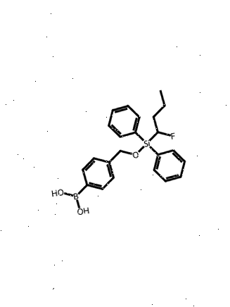 CCCC(F)[Si](OCc1ccc(B(O)O)cc1)(c1ccccc1)c1ccccc1